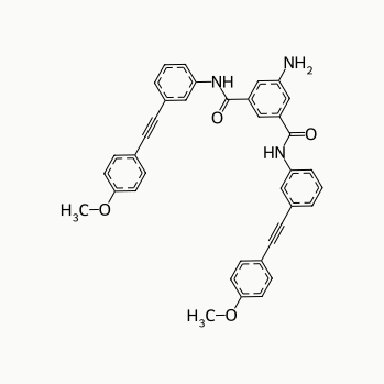 COc1ccc(C#Cc2cccc(NC(=O)c3cc(N)cc(C(=O)Nc4cccc(C#Cc5ccc(OC)cc5)c4)c3)c2)cc1